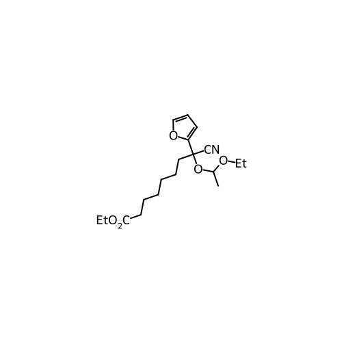 CCOC(=O)CCCCCCC(C#N)(OC(C)OCC)c1ccco1